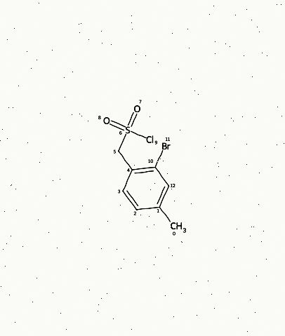 Cc1ccc(CS(=O)(=O)Cl)c(Br)c1